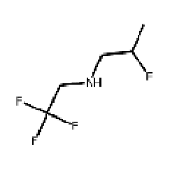 CC(F)CNCC(F)(F)F